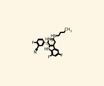 CCCCN[C@H]1Cc2c([nH]c3c(F)cc(F)cc23)[C@H](c2ccc(F)c(C#N)c2)N1